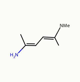 CN/C(C)=C/C=C(\C)N